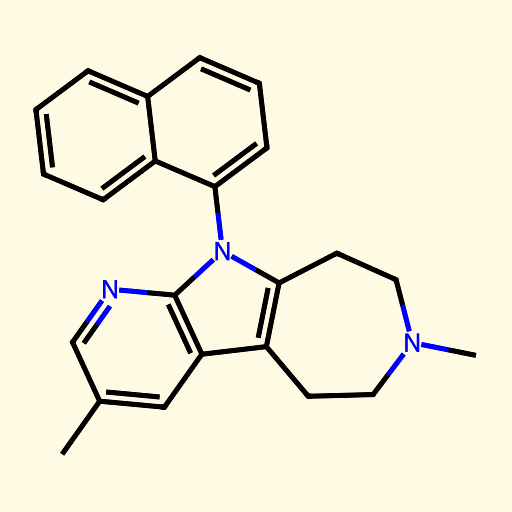 Cc1cnc2c(c1)c1c(n2-c2cccc3ccccc23)CCN(C)CC1